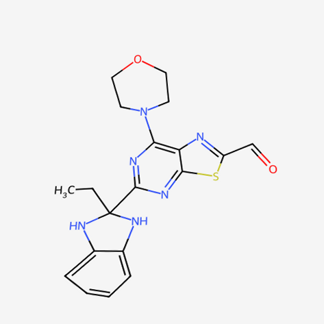 CCC1(c2nc(N3CCOCC3)c3nc(C=O)sc3n2)Nc2ccccc2N1